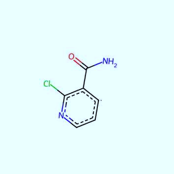 NC(=O)c1[c]ccnc1Cl